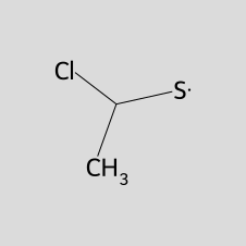 CC([S])Cl